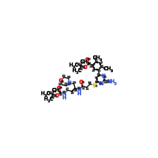 Cc1cc(C)c(-c2cc(SCCC(=O)N[C@@H](CCNC(=O)OC(C)(C)C)CN3CCOCC3)nc(N)n2)cc1C(=O)OC(C)(C)C